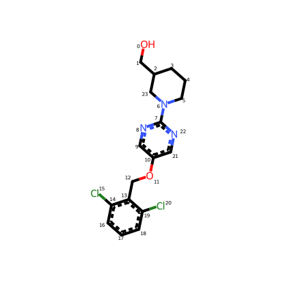 OCC1CCCN(c2ncc(OCc3c(Cl)cccc3Cl)cn2)C1